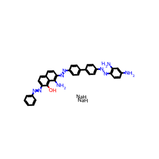 Nc1ccc(N=Nc2ccc(-c3ccc(N=Nc4ccc5ccc(N=Nc6ccccc6)c(O)c5c4N)cc3)cc2)c(N)c1.[NaH].[NaH]